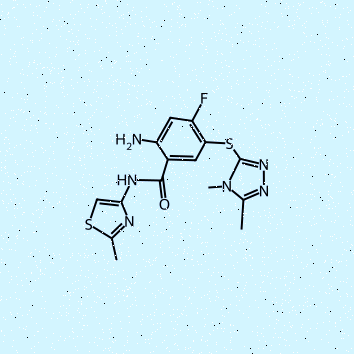 Cc1nc(NC(=O)c2cc(Sc3nnc(C)n3C)c(F)cc2N)cs1